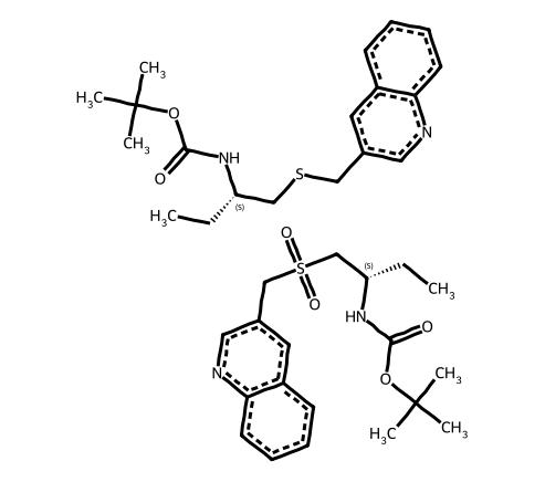 CC[C@@H](CS(=O)(=O)Cc1cnc2ccccc2c1)NC(=O)OC(C)(C)C.CC[C@@H](CSCc1cnc2ccccc2c1)NC(=O)OC(C)(C)C